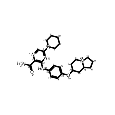 NC(=O)c1ncc(N2CCCCC2)nc1Nc1ccc(OC2CCN3CCCC3C2)cc1